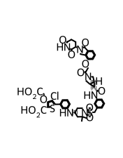 CC1(C)C[C@@H](Nc2cccc(-c3sc(C(=O)O)c(OCC(=O)O)c3Cl)c2)CCN1S(=O)(=O)Cc1cccc(NC(=O)[C@@H]2C3CN(C(=O)COc4cccc5c4CN(C4CCC(=O)NC4=O)C5=O)C[C@H]32)c1